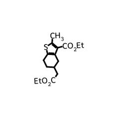 CCOC(=O)CC1CCc2sc(C)c(C(=O)OCC)c2C1